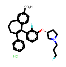 Cl.O=C(O)c1ccc2c(c1)CCCC(c1ccccc1)=C2c1cccc(O[C@@H]2CCN(CCCF)C2)c1F